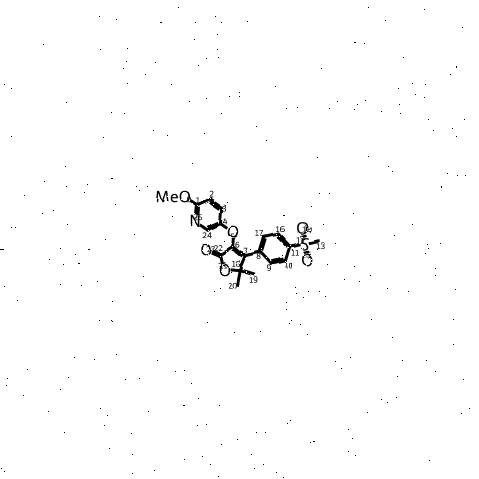 COc1ccc(OC2=C(c3ccc(S(C)(=O)=O)cc3)C(C)(C)OC2=O)cn1